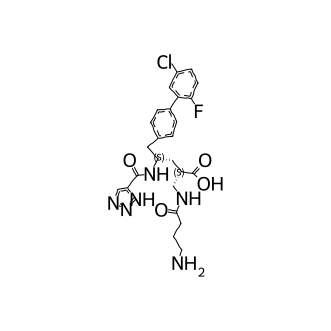 NCCCC(=O)NC[C@H](C[C@@H](Cc1ccc(-c2cc(Cl)ccc2F)cc1)NC(=O)c1cnn[nH]1)C(=O)O